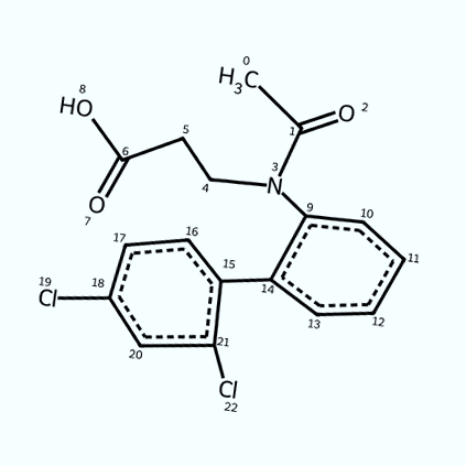 CC(=O)N(CCC(=O)O)c1ccccc1-c1ccc(Cl)cc1Cl